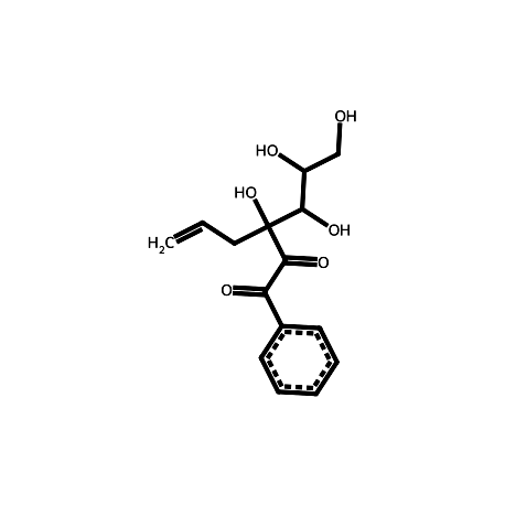 C=CCC(O)(C(=O)C(=O)c1ccccc1)C(O)C(O)CO